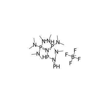 CN(C)P(N(C)C)(N(C)C)=[N+](PN=P)[PH](N(C)C)(N(C)C)N(C)C.F[B-](F)(F)F